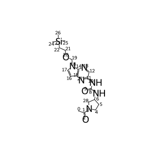 CC(=O)N1CCC(NC(=O)Nc2cnc3c(ccn3COCC[Si](C)(C)C)n2)C1